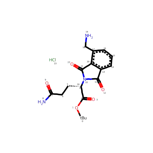 CC(C)(C)OC(=O)[C@H](CCC(N)=O)N1C(=O)c2cccc(CN)c2C1=O.Cl